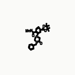 CNC(=O)c1ccc(B2OC(C)(C)C(C)(C)O2)cc1N1CCN(Cc2ccccc2)C(=O)C1